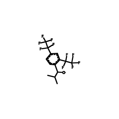 CC(C)C([O])c1ccc(C(F)(F)C(F)(F)F)cc1C(F)(F)C(F)(F)F